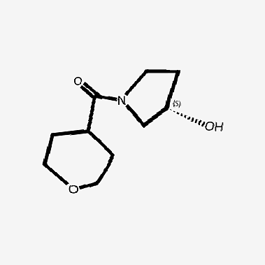 O=C(C1CCOCC1)N1CC[C@H](O)C1